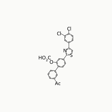 CC(=O)c1cccc(-c2ccc(-c3nc(-c4ccc(Cl)c(Cl)c4)cs3)cc2OC(=O)O)c1